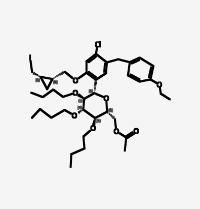 CCCCO[C@@H]1[C@@H](OCCCC)[C@H](c2cc(Cc3ccc(OCC)cc3)c(Cl)cc2OC[C@@H]2C[C@@H]2CI)O[C@H](COC(C)=O)[C@H]1OCCCC